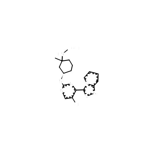 CC1(NC(=O)O)CCC[C@@H](Nc2ncc(Cl)c(-c3nnc4ccccn34)n2)C1